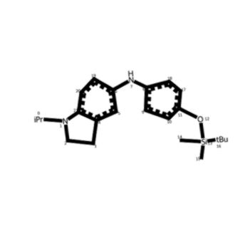 CC(C)N1CCc2cc(Nc3ccc(O[Si](C)(C)C(C)(C)C)cc3)ccc21